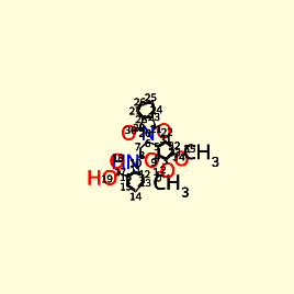 CCOc1cc(C(CC(=O)Nc2ccccc2C(=O)O)N2C(=O)c3ccccc3C2=O)ccc1OC